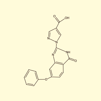 O=C(O)c1cnn(-c2nc3cc(Oc4ccccc4)ccc3c(=O)[nH]2)c1